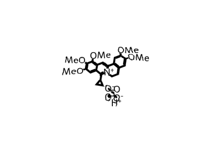 COc1cc2c(cc1OC)-c1cc3c(OC)c(OC)c(OC)cc3c(C3CC3)[n+]1CC2.O=S(=O)([O-])[O-].[H+]